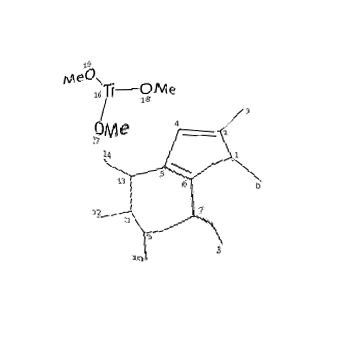 C[C]1C(C)=CC2=C1C(C)C(C)C(C)C2C.C[O][Ti]([O]C)[O]C